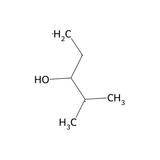 [CH2]CC(O)[C](C)C